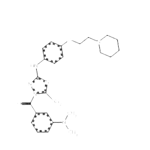 CN(C)c1cccc(C(=O)n2nc(Nc3ccc(OCCN4CCCCC4)cc3)nc2N)c1